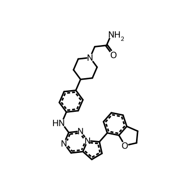 NC(=O)CN1CCC(c2ccc(Nc3ncc4ccc(-c5cccc6c5OCC6)n4n3)cc2)CC1